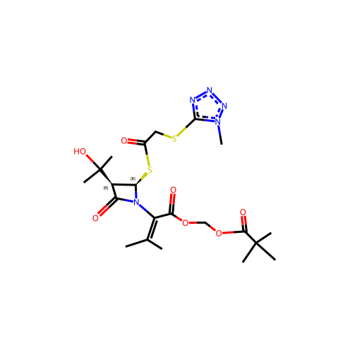 CC(C)=C(C(=O)OCOC(=O)C(C)(C)C)N1C(=O)[C@@H](C(C)(C)O)[C@H]1SC(=O)CSc1nnnn1C